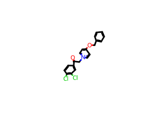 O=C(C[n+]1ccc(OCc2ccccc2)cc1)c1ccc(Cl)c(Cl)c1